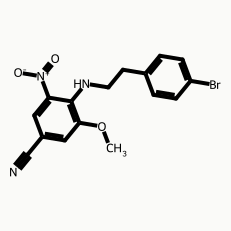 COc1cc(C#N)cc([N+](=O)[O-])c1NCCc1ccc(Br)cc1